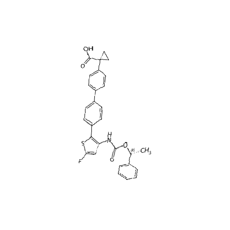 C[C@@H](OC(=O)Nc1cc(F)sc1-c1ccc(-c2ccc(C3(C(=O)O)CC3)cc2)cc1)c1ccccc1